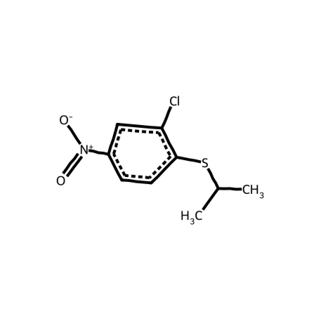 CC(C)Sc1ccc([N+](=O)[O-])cc1Cl